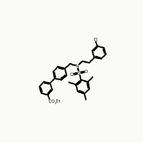 CCOC(=O)c1cccc(-c2ccc(CN(CCc3cccc(Cl)c3)S(=O)(=O)c3c(C)cc(C)cc3C)cc2)c1